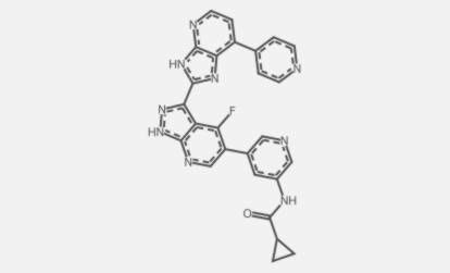 O=C(Nc1cncc(-c2cnc3[nH]nc(-c4nc5c(-c6ccncc6)ccnc5[nH]4)c3c2F)c1)C1CC1